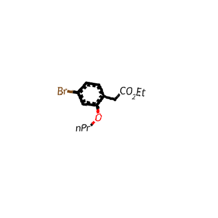 CCCOc1cc(Br)ccc1CC(=O)OCC